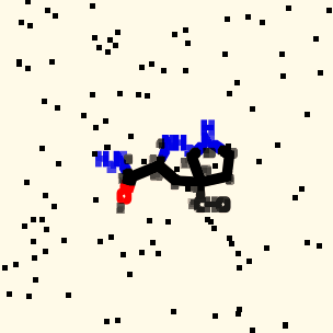 NC(=O)[C@@H](N)C[C@@]1(C=O)CCNC1